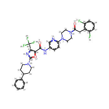 O=C(Nc1ccc(N2CCN(C(=O)Cc3c(F)cccc3F)CC2)nc1)c1oc(N2CCC(c3ccccc3)CC2)nc1C(F)(F)F